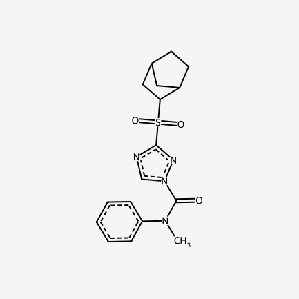 CN(C(=O)n1cnc(S(=O)(=O)C2CC3CCC2C3)n1)c1ccccc1